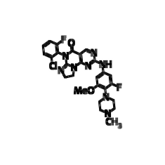 COc1cc(Nc2ncc3c(n2)N2CCN=C2N(c2c(F)cccc2Cl)C3=O)cc(F)c1N1CCN(C)CC1